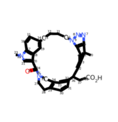 Cc1c2ccc3c1nnn3CCCCc1ccc3c(c1)c(cn3C)C(=O)N1CCc3ccc(cc3C1)C2CC(=O)O